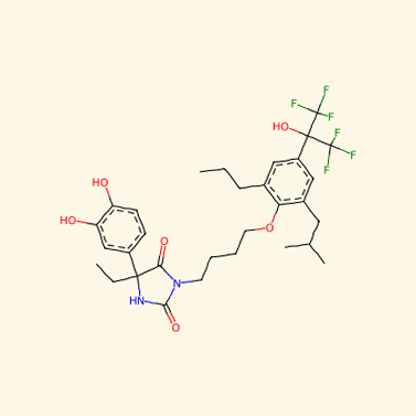 CCCc1cc(C(O)(C(F)(F)F)C(F)(F)F)cc(CC(C)C)c1OCCCCN1C(=O)NC(CC)(c2ccc(O)c(O)c2)C1=O